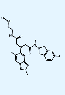 CCNCCNC(=O)CN(CC(=O)N(C)N1Cc2ccc(F)cc2C1)c1cc2nn(C)cc2cc1C